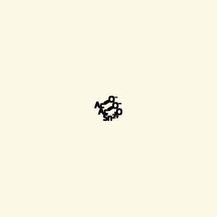 CC(=O)[O-].CC(=O)[O-].[O]=[Sn+2]